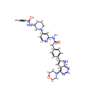 CC#CC(=O)NC1CCCN(c2ccnc(N(C)C(=O)Cc3ccc(-c4cc5c(N6CCOCC6)ncnc5[nH]4)cc3)c2)C1